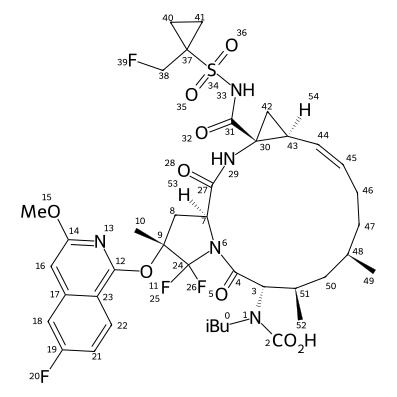 CCC(C)N(C(=O)O)[C@@H]1C(=O)N2[C@@H](C[C@@](C)(Oc3nc(OC)cc4cc(F)ccc34)C2(F)F)C(=O)N[C@]2(C(=O)NS(=O)(=O)C3(CF)CC3)C[C@H]2/C=C\CC[C@@H](C)C[C@H]1C